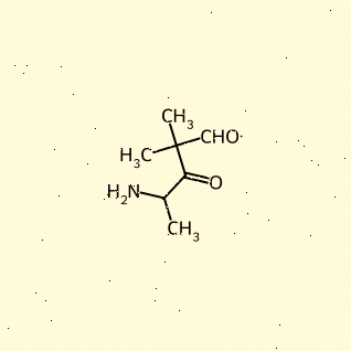 CC(N)C(=O)C(C)(C)[C]=O